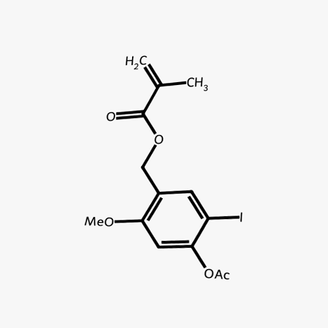 C=C(C)C(=O)OCc1cc(I)c(OC(C)=O)cc1OC